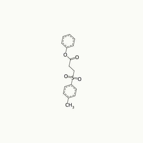 Cc1ccc(S(=O)(=O)CCC(=O)Oc2ccccc2)cc1